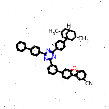 C[C@@H]1C[C@@H]2C[C@H](C)CC(c3ccc(-c4nc(-c5ccc(-c6ccccc6)cc5)nc(-c5cccc(-c6ccc7c(c6)oc6ccc(C#N)cc67)c5)n4)cc3)(C1)C2